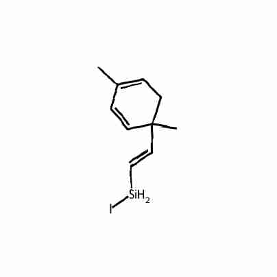 CC1=CCC(C)(C=C[SiH2]I)C=C1